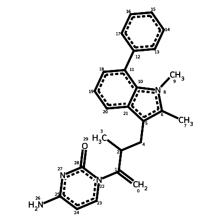 C=C(C(C)Cc1c(C)n(C)c2c(-c3ccccc3)cccc12)n1ccc(N)nc1=O